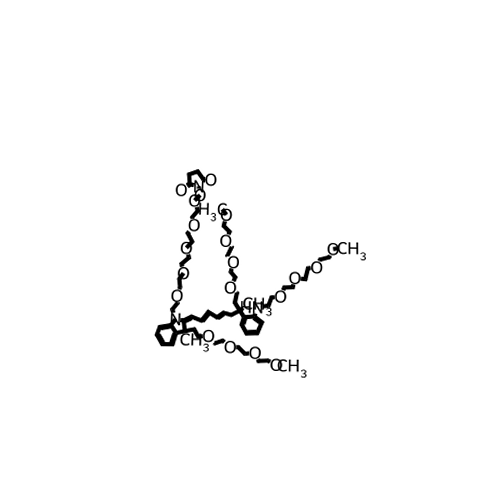 COCCOCCOCCOCCNc1ccccc1C(C)(C/C=C/C=C/C=C1/N(CCOCCOCCOCCOCCOON2C(=O)CCC2=O)c2ccccc2C1(C)CCOCCOCCOCCOC)CCOCCOCCOCCOC